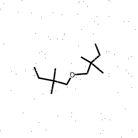 CCC(C)(C)COCC(C)(C)CC